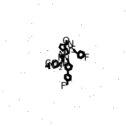 CC(C)(C(=O)O)N1CCN(Cc2nnc(Cn3c(SCc4ccc(F)cc4)nc(=O)c4c3CCC4)n2Cc2ccc(-c3ccc(CF)cc3)cc2)CC1